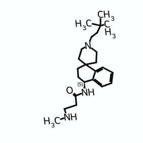 CNCCC(=O)N[C@H]1CCC2(CCN(CCC(C)(C)C)CC2)c2ccccc21